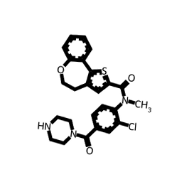 CN(C(=O)c1cc2c(s1)-c1ccccc1OCC2)c1ccc(C(=O)N2CCNCC2)cc1Cl